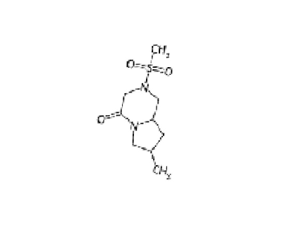 CC1CC2CN(S(C)(=O)=O)CC(=O)N2C1